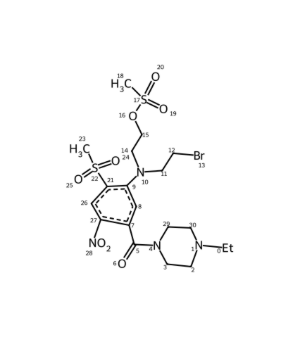 CCN1CCN(C(=O)c2cc(N(CCBr)CCOS(C)(=O)=O)c(S(C)(=O)=O)cc2[N+](=O)[O-])CC1